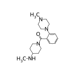 CNC1CCN(C(=O)c2ccccc2N2CCN(C)CC2)CC1